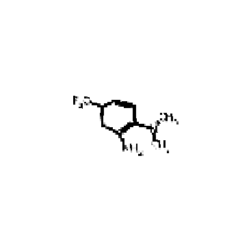 CN(C)C1=C(N)CC(C(F)(F)F)C=C1